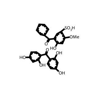 COc1cc(O)c(C(=O)c2ccccc2)cc1S(=O)(=O)O.O=C(c1ccc(O)cc1O)c1ccc(O)cc1O